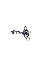 CCC/C=C/C=C/[B-]12OC(=O)C[C+]1CC(=O)O2